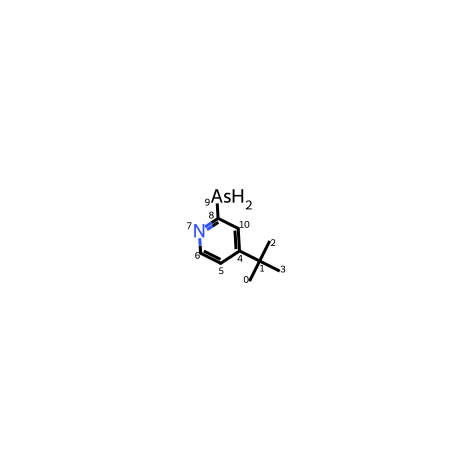 CC(C)(C)c1ccnc([AsH2])c1